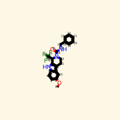 COc1ccc2[nH]c3c(c2c1)CCN(C(=O)NCc1ccccc1)C3C(F)(F)F